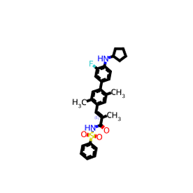 C/C(=C\c1cc(C)c(-c2ccc(NC3CCCC3)c(F)c2)cc1C)C(=O)NS(=O)(=O)c1ccccc1